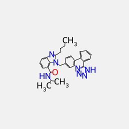 CCCCc1nc2cccc(C(=O)NC(C)C)c2n1Cc1ccc(-c2ccccc2-c2nnn[nH]2)cc1